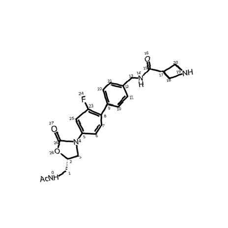 CC(=O)NC[C@H]1CN(c2ccc(-c3ccc(CNC(=O)C4CNC4)cc3)c(F)c2)C(=O)O1